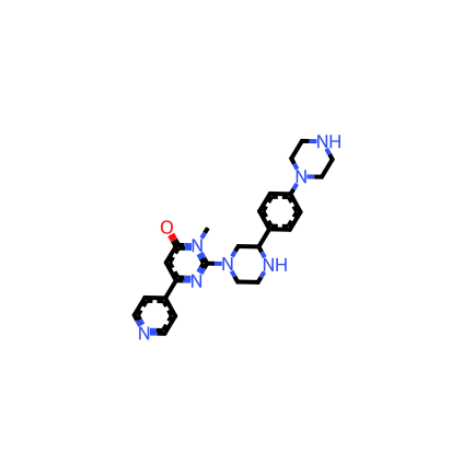 Cn1c(N2CCNC(c3ccc(N4CCNCC4)cc3)C2)nc(-c2ccncc2)cc1=O